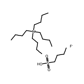 CCCCS(=O)(=O)O.CCCC[N+](CCCC)(CCCC)CCCC.[F-]